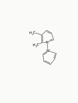 Cc1ccc[n+](-[n+]2ccccc2)c1C